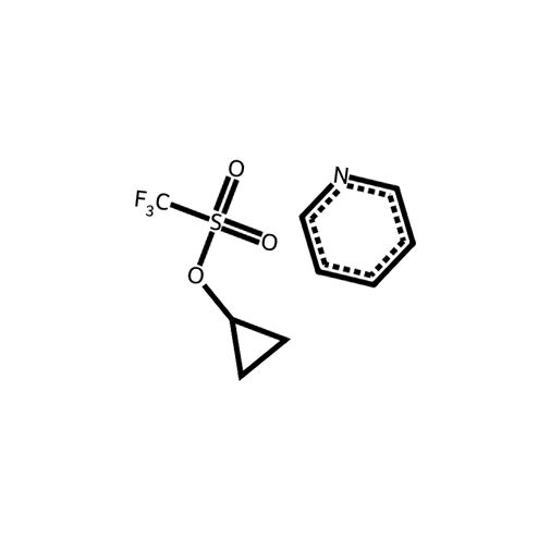 O=S(=O)(OC1CC1)C(F)(F)F.c1ccncc1